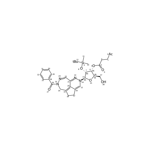 CC(=O)CCC(=O)O[C@H]1[C@@H](O[Si](C)(C)C(C)(C)C)[C@H](N2C=C3CCC4=C3C(=N2)C=NN(C(=O)c2ccccc2)C4)O[C@@H]1CO